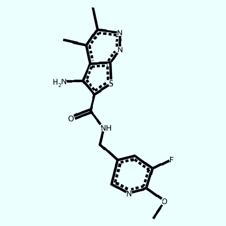 COc1ncc(CNC(=O)c2sc3nnc(C)c(C)c3c2N)cc1F